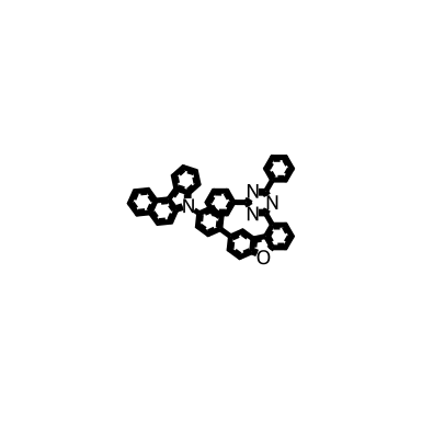 c1ccc(-c2nc(-c3ccccc3)nc(-c3cccc4oc5ccc(-c6ccc(-n7c8ccccc8c8c9ccccc9ccc87)cc6)cc5c34)n2)cc1